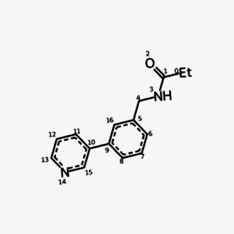 CCC(=O)NCc1cccc(-c2cccnc2)c1